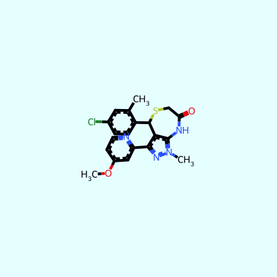 COc1ccnc(-c2nn(C)c3c2C(c2ccc(Cl)cc2C)SCC(=O)N3)c1